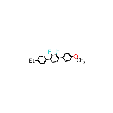 CCc1ccc(-c2ccc(-c3ccc(OC(F)(F)F)cc3)c(F)c2F)cc1